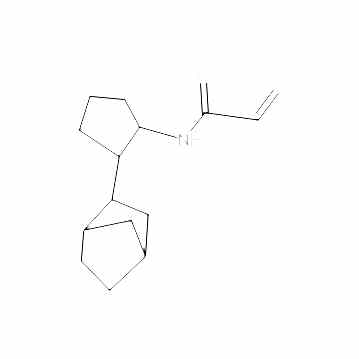 C=CC(=O)NC1CCCC1C1CC2CCC1C2